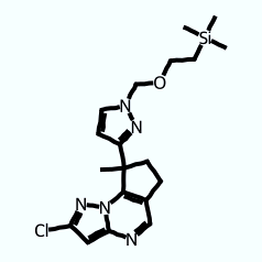 CC1(c2ccn(COCC[Si](C)(C)C)n2)CCc2cnc3cc(Cl)nn3c21